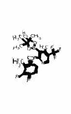 Cc1c(Oc2ncc(C(F)(F)F)c(C)c2B2OC(C)(C)C(C)(C)O2)ccc(F)c1F